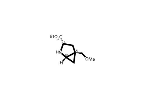 CCOC(=O)[C@@H]1C[C@]2(COC)C[C@@H]2N1